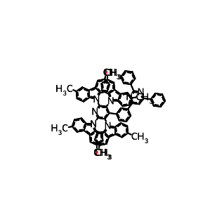 Cc1ccc2c(c1)c1cc(C)ccc1n2-c1nc(-n2c3ccc(C)cc3c3cc(C)ccc32)c(-n2c3ccc(C)cc3c3cc(C)ccc32)c(-c2cccc(-c3cc(-c4ccccc4)nc(-c4ccccc4)n3)c2)c1-n1c2ccc(C)cc2c2cc(C)ccc21